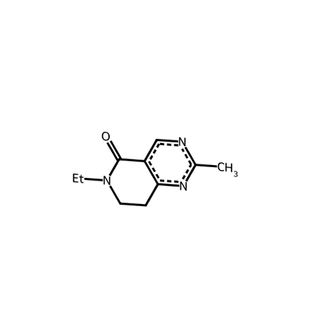 CCN1CCc2nc(C)ncc2C1=O